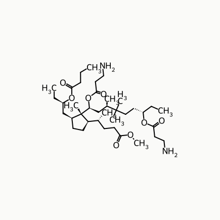 CCCC(=O)O[C@H](CC)C[C@@H]1CC[C@H]([C@H](C)CCC(=O)OC)[C@@]1(C)[C@H](C[C@@H](C)C(C)(C)CC[C@H](CC)OC(=O)CCN)OC(=O)CCN